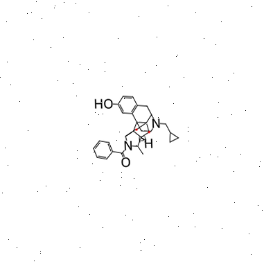 CC1[C@H]2CC34CCC(C2C32CCN(CC3CC3)C4Cc3ccc(O)cc32)N1C(=O)c1ccccc1